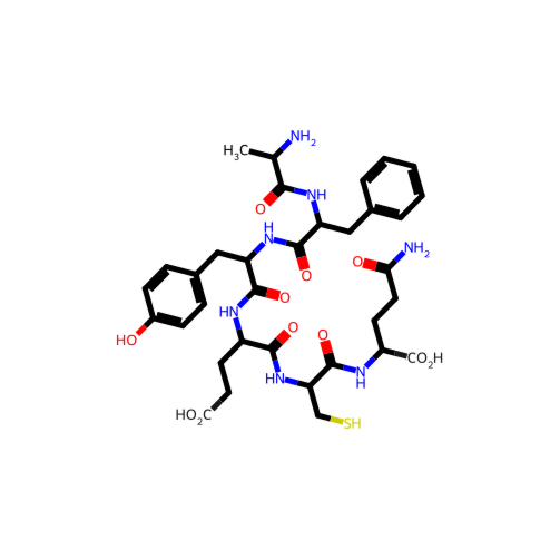 CC(N)C(=O)NC(Cc1ccccc1)C(=O)NC(Cc1ccc(O)cc1)C(=O)NC(CCC(=O)O)C(=O)NC(CS)C(=O)NC(CCC(N)=O)C(=O)O